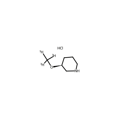 Cl.[3H]C([3H])([3H])O[C@H]1CCCNC1